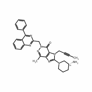 CC#CCn1c(N2CCC[C@@H](N)C2)nc2c(C)nn(Cc3nc(-c4ccccc4)c4ccccc4n3)c(=O)c21